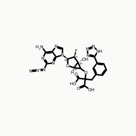 [N-]=[N+]=Nc1nc(N)c2ncn([C@@H]3O[C@@H]4C(OC(Cc5cccc(-c6nnn[nH]6)c5)(C(=O)O)C(=O)O)[C@]4(O)[C@@H]3F)c2n1